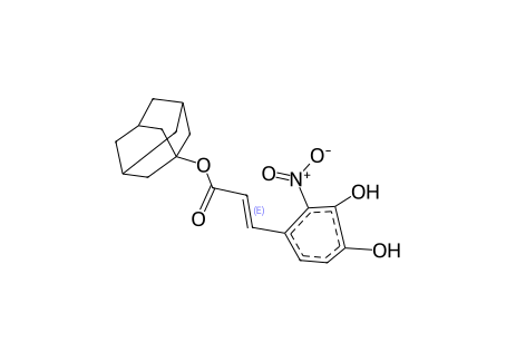 O=C(/C=C/c1ccc(O)c(O)c1[N+](=O)[O-])OC12CC3CC(CC(C3)C1)C2